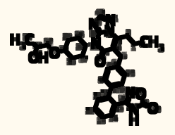 CCCc1c(Cc2ccc(-c3ccccc3-c3noc(=O)[nH]3)cc2)c(=O)n([C@H]2CC[C@H](OCC(C)O)CC2)c2ncnn12